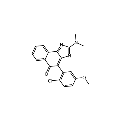 COc1ccc(Cl)c(C2=C3N=C(N(C)C)N=C3c3ccccc3C2=O)c1